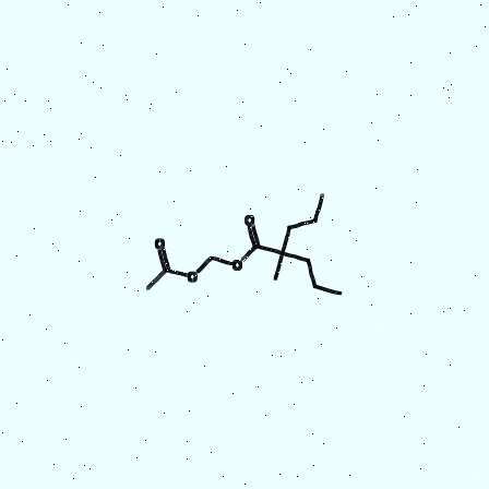 CCCC(C)(CCC)C(=O)OCOC(C)=O